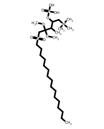 CCCCCCCCCCCCCCCCS(=O)(=O)CC(OC)(OC)C(C)C(C[N+](C)(C)C)OP(=O)(O)O